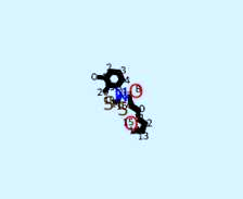 Cc1cccc(N2C(=O)/C(=C/c3ccco3)SC2=S)c1C